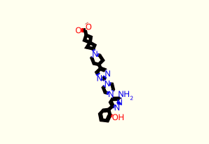 COC(=O)C1CC2(C1)CC(N1CCC(c3cnc(N4CCN(c5cc(-c6ccccc6O)nnc5N)CC4)nc3)CC1)C2